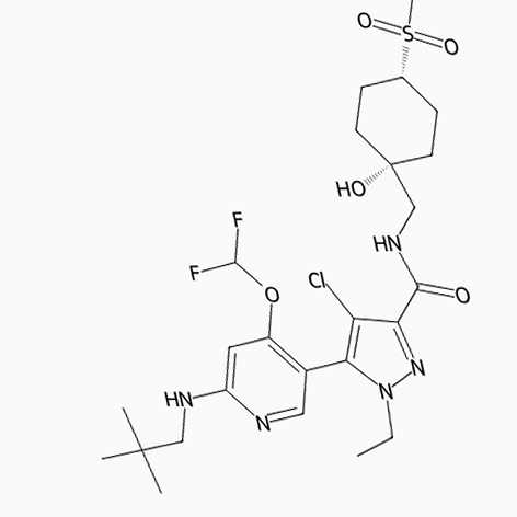 CCn1nc(C(=O)NC[C@]2(O)CC[C@@H](S(C)(=O)=O)CC2)c(Cl)c1-c1cnc(NCC(C)(C)C)cc1OC(F)F